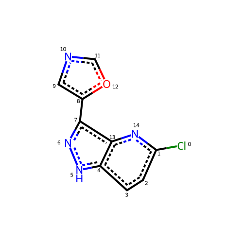 Clc1ccc2[nH]nc(-c3cnco3)c2n1